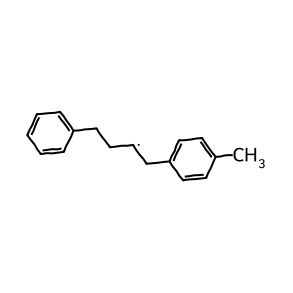 Cc1ccc(C[CH]CCc2ccccc2)cc1